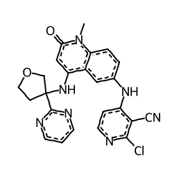 Cn1c(=O)cc(NC2(c3ncccn3)CCOC2)c2cc(Nc3ccnc(Cl)c3C#N)ccc21